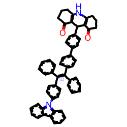 O=C1CCCC2=C1C(c1ccc(-c3ccc(/C(=C(\c4ccccc4)c4ccc(-n5c6ccccc6c6ccccc65)cc4)c4ccccc4)cc3)cc1)C1=C(CCCC1=O)N2